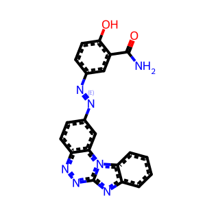 NC(=O)c1cc(/N=N/c2ccc3nnc4nc5ccccc5n4c3c2)ccc1O